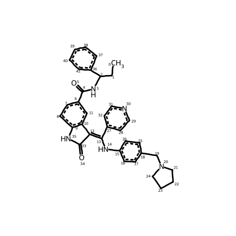 CCC(NC(=O)c1ccc2c(c1)/C(=C(/Nc1ccc(CN3CCCC3)cc1)c1ccncc1)C(=O)N2)c1ccccc1